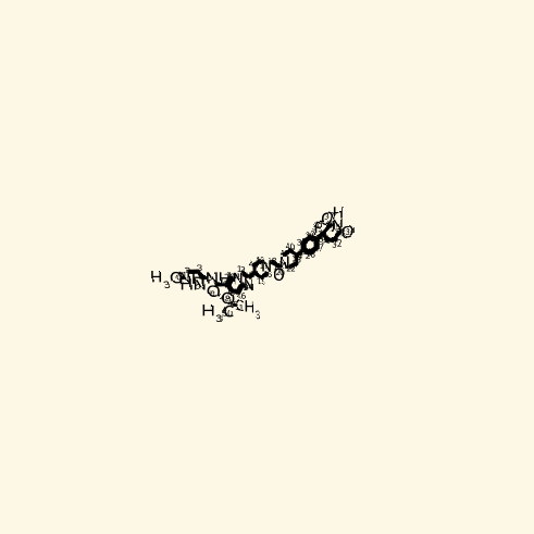 CN/C=C\C(=N)NC(=O)c1cn2cc(C3CCN(CC(=O)N4CCC(c5ccc(C6(F)CCC(=O)NC6=O)cc5)CC4)CC3)nc2cc1OC(C)C